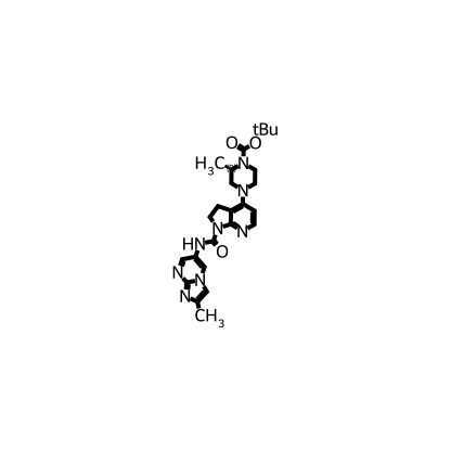 Cc1cn2cc(NC(=O)N3CCc4c(N5CCN(C(=O)OC(C)(C)C)[C@H](C)C5)ccnc43)cnc2n1